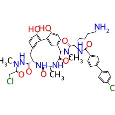 C[C@@H]1NC(=O)[C@@H](N(C)C(=O)[C@H](CCCCN)NC(=O)c2ccc(-c3ccc(Cl)cc3)cc2)c2ccc(O)c(c2)-c2cc(ccc2O)C[C@@H](C(=O)NN(C)C(=O)CCl)NC1=O